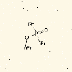 CCCOP(=O)(C(C)C)C(C)C